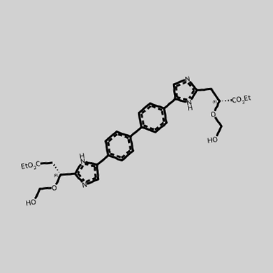 CCOC(=O)C[C@@H](OCO)c1ncc(-c2ccc(-c3ccc(-c4cnc(C[C@@H](OCO)C(=O)OCC)[nH]4)cc3)cc2)[nH]1